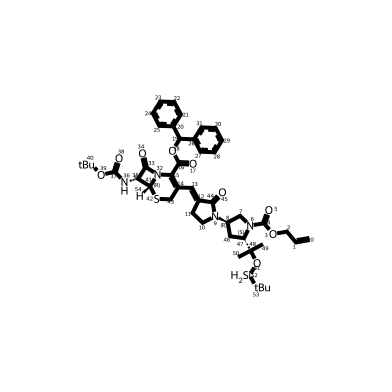 C=CCOC(=O)N1C[C@H](N2CCC(=CC3=C(C(=O)OC(c4ccccc4)c4ccccc4)N4C(=O)[C@@H](NC(=O)OC(C)(C)C)[C@H]4SC3)C2=O)C[C@H]1C(C)(C)O[SiH2]C(C)(C)C